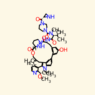 CCn1c(-c2cccnc2[C@H](C)OC)c2c3cc(ccc31)-c1cc(O)cc(c1)C[C@H](NC(=O)[C@H](C(C)C)N(C)C(=O)N1CCCN(C(=O)[C@@H]3CN3)CC1)C(=O)N1CCC[C@H](N1)C(=O)OCC(C)(C)C2